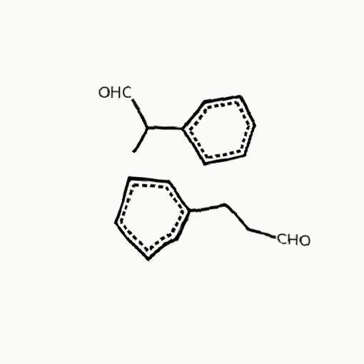 CC(C=O)c1ccccc1.O=CCCc1ccccc1